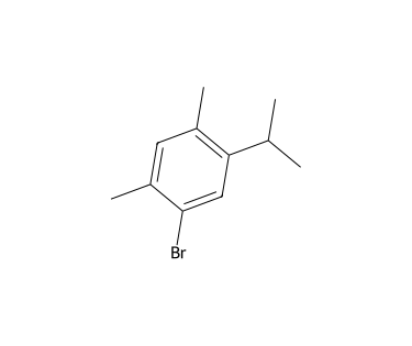 Cc1cc(C)c(C(C)C)cc1Br